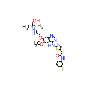 COc1cc2c(Nc3ncc(CC(=O)Nc4cccc(F)c4)s3)ncnc2cc1OCCCNC(C)(C)CO